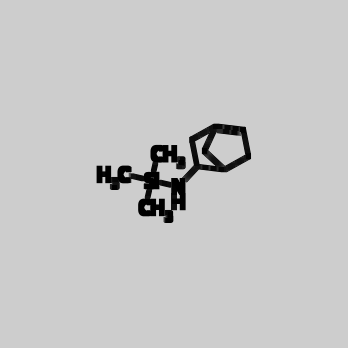 C[Si](C)(C)NC1CC2=CCC1C2